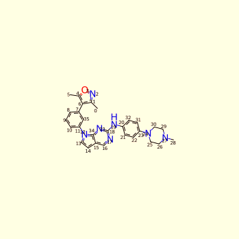 Cc1noc(C)c1-c1cccc(-n2ccc3cnc(Nc4ccc(N5CCN(C)CC5)cc4)nc32)c1